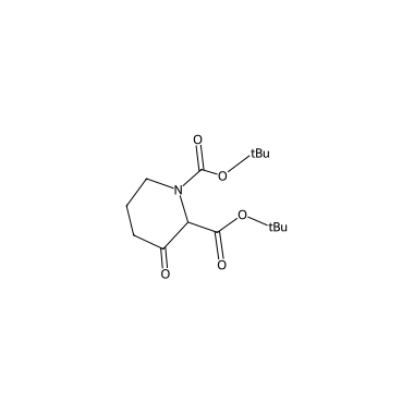 CC(C)(C)OC(=O)C1C(=O)CCCN1C(=O)OC(C)(C)C